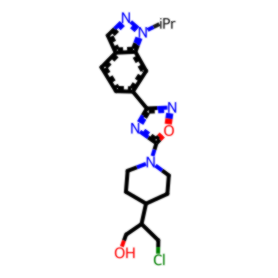 CC(C)n1ncc2ccc(-c3noc(N4CCC(C(CO)CCl)CC4)n3)cc21